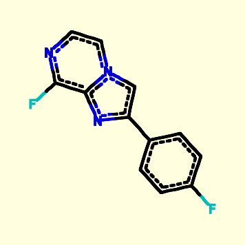 Fc1ccc(-c2cn3ccnc(F)c3n2)cc1